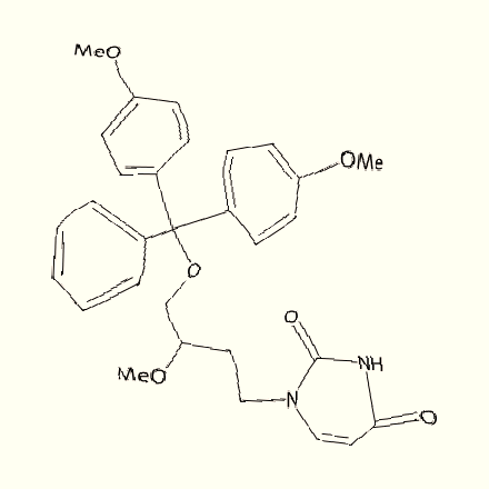 COc1ccc(C(OCC(CCn2ccc(=O)[nH]c2=O)OC)(c2ccccc2)c2ccc(OC)cc2)cc1